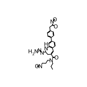 CCCN(CCCN=O)C(=O)C1=Cc2ccc(-c3ccc(CC(=O)N=O)cc3)cc2NC(N=NN)C1